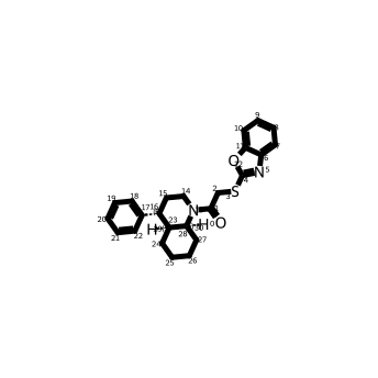 O=C(CSc1nc2ccccc2o1)N1CC[C@@H](c2ccccc2)[C@@H]2CCCC[C@@H]21